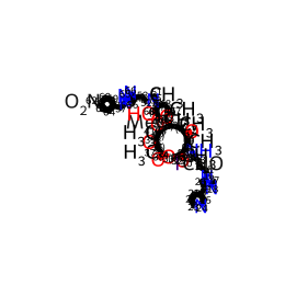 CO[C@]1(C)C[C@@H](C)C(=O)[C@H](C)[C@@H](NCCCCn2cnc(-c3cccnc3)c2)[C@](C)(OC=O)[C@@H](I)OC(=O)[C@H](C)C(=O)[C@H](C)[C@H]1O[C@@H]1O[C@H](C)C[C@H](N(C)CCc2cn(Cc3ccc([N+](=O)[O-])cc3)nn2)[C@H]1O